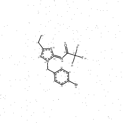 CCc1nn(Cc2ccc(Br)cc2)c(=NC(=O)C(F)(F)F)s1